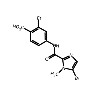 CCc1cc(NC(=O)c2ncc(Br)n2C)ccc1C(=O)O